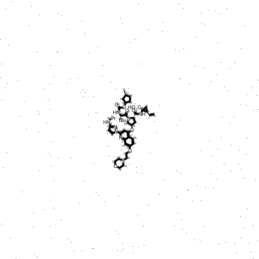 C=C[C@@H]1C[C@]1(NC(=O)[C@@H]1C[C@@H](Oc2cc(-n3ccc(NC(C)C)n3)nc3cc(OCCN4CCOCC4)ccc23)CN1C(=O)[C@@H](NC(=O)OC1CC[C@H](C)C1)C(C)(C)C)C(=O)O